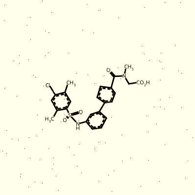 Cc1cc(S(=O)(=O)Nc2cccc(-c3ccc(C(=O)N(C)CC(=O)O)cc3)c2)c(C)cc1Cl